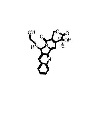 CC[C@@]1(O)C(=O)OCc2c1cc1n(c2=O)C(NCCO)c2cc3ccccc3nc2-1